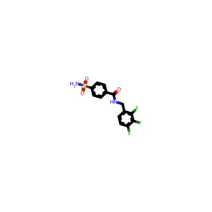 NS(=O)(=O)c1ccc(C(=O)NCc2ccc(F)c(F)c2F)cc1